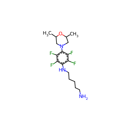 CC1CN(c2c(F)c(F)c(NCCCCCN)c(F)c2F)CC(C)O1